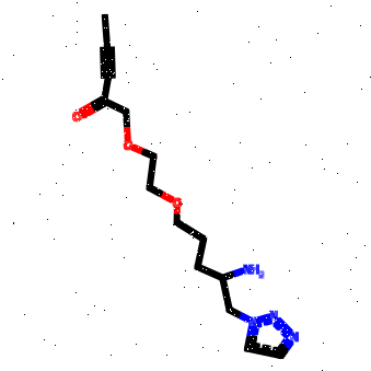 CC#CC(=O)COCCOCCCC(N)Cn1ccnn1